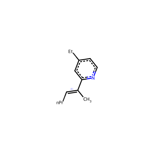 CCC/C=C(\C)c1cc(CC)ccn1